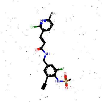 C#Cc1cc(CNC(=O)/C=C/c2ccc(C(C)(C)C)nc2Br)cc(F)c1NS(C)(=O)=O